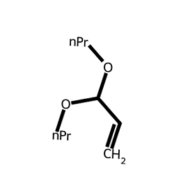 C=CC(OCCC)OCCC